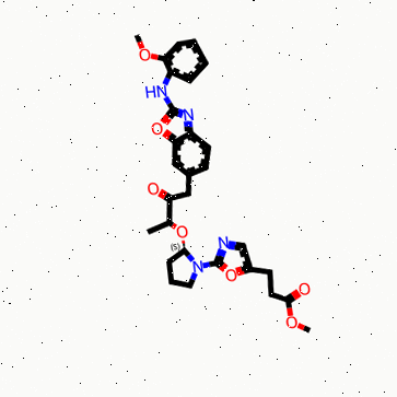 COC(=O)CCc1cnc(N2CCC[C@@H]2OC(C)C(=O)Cc2ccc3nc(Nc4ccccc4OC)oc3c2)o1